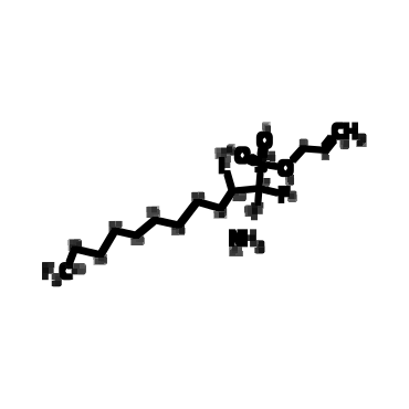 C=CCOS(=O)(=O)C(F)(F)C(F)CCCCCCCCC(F)(F)F.N